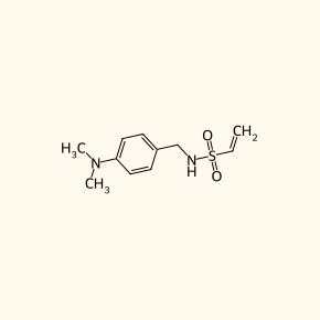 C=CS(=O)(=O)NCc1ccc(N(C)C)cc1